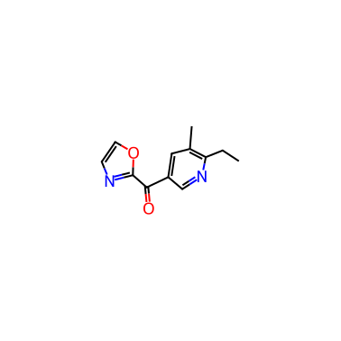 CCc1ncc(C(=O)c2ncco2)cc1C